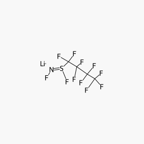 FN=S(F)C(F)(F)C(F)(F)C(F)(F)C(F)(F)F.[Li]